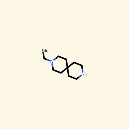 CC(C)(C)CN1CCC2(CCNCC2)CC1